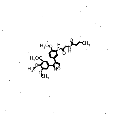 CCCC(=O)NCC(=O)Nc1cc(-c2csnc2-c2cc(OC)c(OC)c(OC)c2)ccc1OC